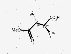 CCC[C@H](C(=O)O)[C@@H](CCC)C(=O)OC